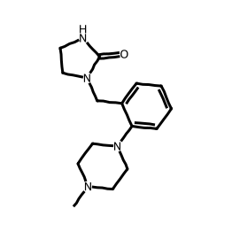 CN1CCN(c2ccccc2CN2CCNC2=O)CC1